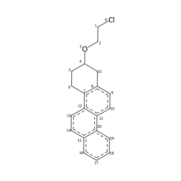 ClCCOC1CCc2c(ccc3c2ccc2ccccc23)C1